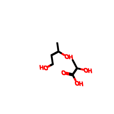 CC(O)C(=O)O.CC(O)CCO